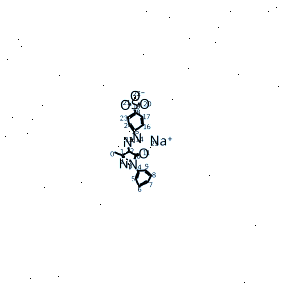 CC1=NN(c2ccccc2)C(=O)C1N=Nc1ccc(S(=O)(=O)[O-])cc1.[Na+]